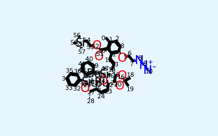 Cc1ccc(OCCN=[N+]=[N-])c(/C=C/C[C@@H]2OC(C)(C)O[C@@H]2C(/C=C\[C@@H](C)[C@H](C)O[Si](c2ccccc2)(c2ccccc2)C(C)(C)C)O[Si](C)(C)C(C)(C)C)c1C(=O)OCC[Si](C)(C)C